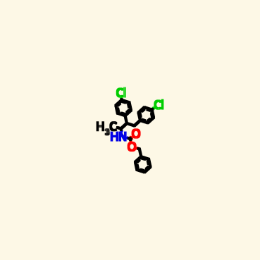 CC(NC(=O)OCc1ccccc1)C(Cc1ccc(Cl)cc1)c1ccc(Cl)cc1